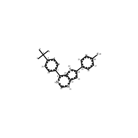 CC(C)(C)c1ccc(-c2ncnc3cc(-c4ccc(F)cc4)sc23)cc1